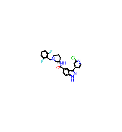 O=C(N[C@@H]1CCCN(Cc2c(F)cccc2F)C1)c1ccc2[nH]nc(-c3ccnc(Cl)c3)c2c1